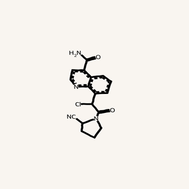 N#CC1CCCN1C(=O)C(Cl)c1cccc2c(C(N)=O)ccnc12